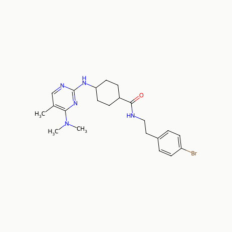 Cc1cnc(NC2CCC(C(=O)NCCc3ccc(Br)cc3)CC2)nc1N(C)C